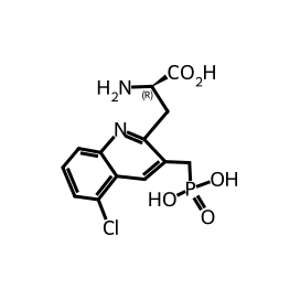 N[C@H](Cc1nc2cccc(Cl)c2cc1CP(=O)(O)O)C(=O)O